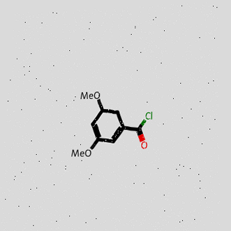 COC1=CC(OC)CC(C(=O)Cl)=C1